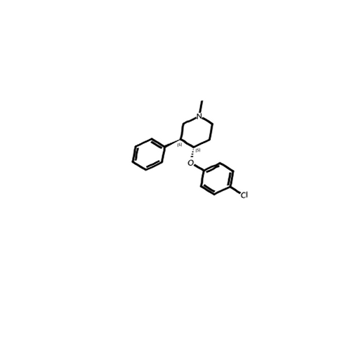 CN1CC[C@H](Oc2ccc(Cl)cc2)[C@@H](c2ccccc2)C1